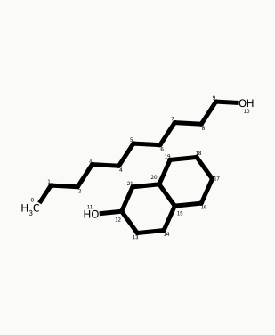 CCCCCCCCCCO.OC1CCC2CCCCC2C1